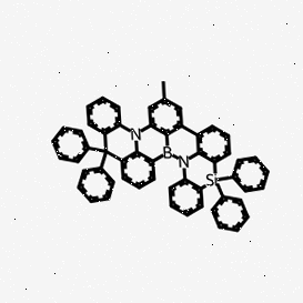 Cc1cc2c3c(c1)N1c4ccccc4C(c4ccccc4)(c4ccccc4)c4cccc(c41)B3N1c3ccccc3[Si](c3ccccc3)(c3ccccc3)c3cccc-2c31